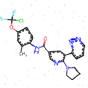 Cc1cc(OC(F)(F)Cl)ccc1NC(=O)c1cnc(N2CCCC2)c(-c2cccnn2)c1